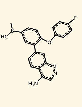 CB(O)c1ccc(Oc2ccc(F)cc2)c(-c2ccc3c(N)cnnc3c2)c1